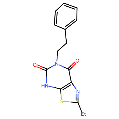 CCc1nc2c(=O)n(CCc3ccccc3)c(=O)[nH]c2s1